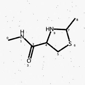 CNC(=O)C1CSC(C)N1